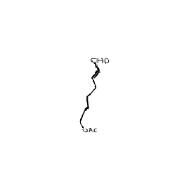 CC(=O)OCCCCC=CC=O